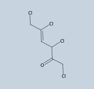 O=C(CCl)C(Cl)C=C(Cl)CCl